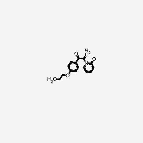 C=C(C(=O)c1ccc(OCCC)cc1)n1ccccc1=O